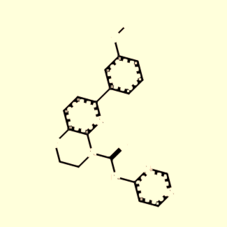 COc1cccc(-c2ccc3c(n2)N(C(=O)Nc2ccncn2)CCO3)c1